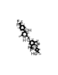 C[C@H]1C[C@@](O)(c2ccc(C(F)(F)F)cc2)C[C@@H](COc2cc(C(F)(F)F)c3c(cnn3C3CC(C)(O)C3)c2)N1